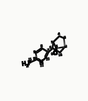 O=C1C2CCC1C(c1ccc(P)nc1)C2